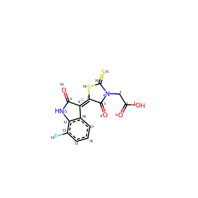 O=C(O)CN1C(=O)/C(=C2/C(=O)Nc3c(F)cccc32)SC1=S